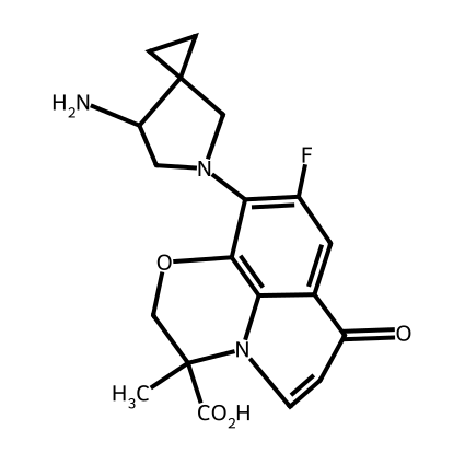 CC1(C(=O)O)COc2c(N3CC(N)C4(CC4)C3)c(F)cc3c(=O)ccn1c23